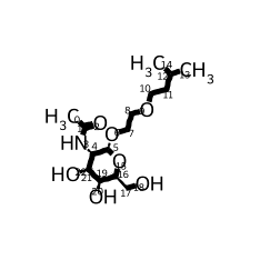 CC(=O)N[C@@H]1[C@H](OCCOCCC(C)C)O[C@@H](CO)[C@@H](O)[C@H]1O